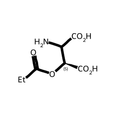 CCC(=O)O[C@H](C(=O)O)C(N)C(=O)O